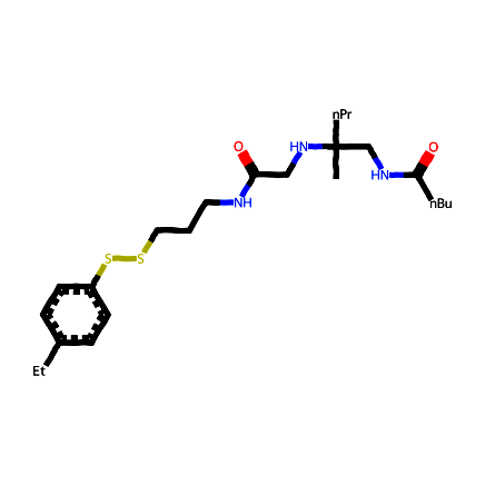 CCCCC(=O)NCC(C)(CCC)NCC(=O)NCCCSSc1ccc(CC)cc1